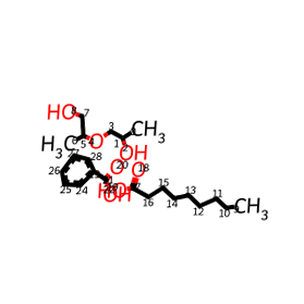 CC(O)COC(C)CO.CCCCCCCCC(=O)O.O=C(O)c1ccccc1